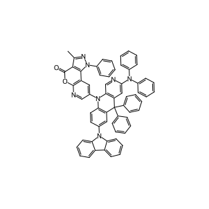 Cc1nn(-c2ccccc2)c2c1c(=O)oc1ncc(N3c4ccc(-n5c6ccccc6c6ccccc65)cc4C(c4ccccc4)(c4ccccc4)c4cc(N(c5ccccc5)c5ccccc5)ncc43)cc12